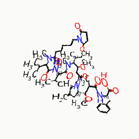 C=C1C[C@@H](C(OC)C(C)C(=O)N[C@@H](Cc2ccccc2)C(=O)O)N(C(=O)CC(OC)C([C@@H](C)CC)N(C)C(=O)[C@@H](NC(=O)C(C(C)C)N(C)C(=O)CCCCCN2C(=O)C=CC2=O)C(C)C)C1